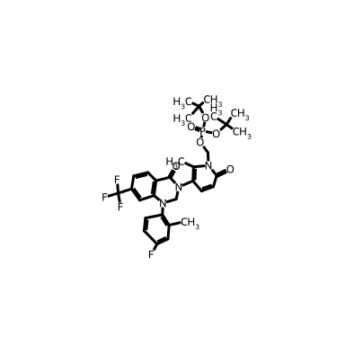 Cc1cc(F)ccc1N1CN(c2ccc(=O)n(COP(=O)(OC(C)(C)C)OC(C)(C)C)c2C)C(=O)c2ccc(C(F)(F)F)cc21